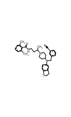 Cc1cccc(C)c1C(=O)NCCC(C)N1CCC(N(Cc2cccc(C#N)c2)c2ccc3c(c2)CCO3)CC1